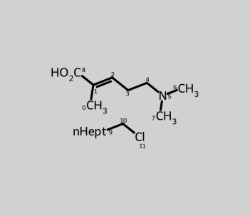 CC(=CCCN(C)C)C(=O)O.CCCCCCCCCl